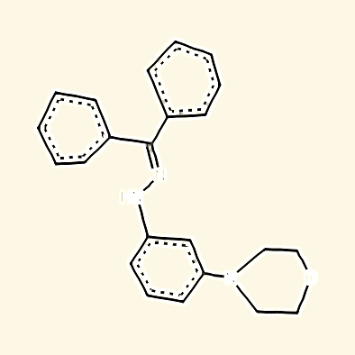 c1ccc(C(=NNc2cccc(N3CCOCC3)c2)c2ccccc2)cc1